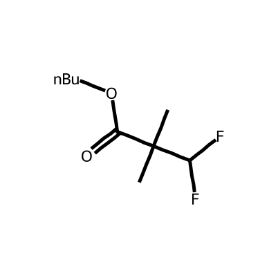 CCCCOC(=O)C(C)(C)C(F)F